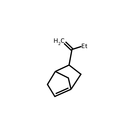 C=C(CC)C1CC2=CCC1C2